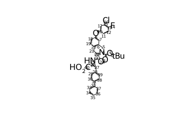 CC(C)(C)OC(=O)N1Cc2cc(Oc3ccc(F)c(Cl)c3)ccc2C[C@H]1C(=O)N[C@@H](Cc1ccc(-c2ccccc2)cc1)C(=O)O